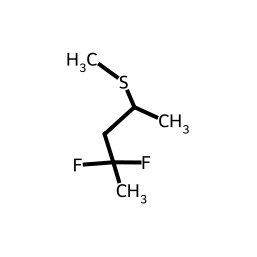 CSC(C)CC(C)(F)F